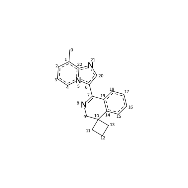 Cc1cccn2c(C3=NCC4(CCC4)c4ccccc43)cnc12